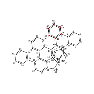 c1ccc(-c2ccccc2-c2nnnc(-c3ccccc3-c3c(-c4ccccc4)ccc4[se]c5ccccc5c34)c2-c2ccccc2)cc1